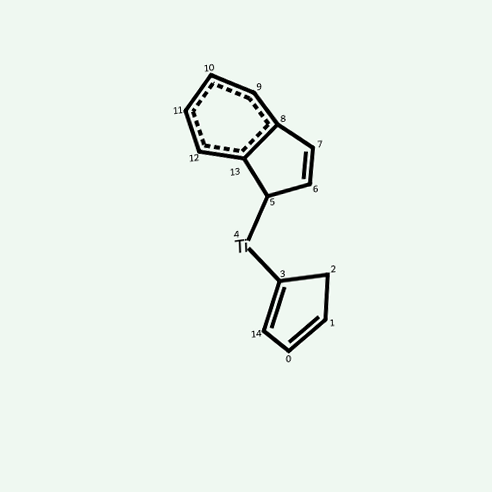 C1=CC[C]([Ti][CH]2C=Cc3ccccc32)=C1